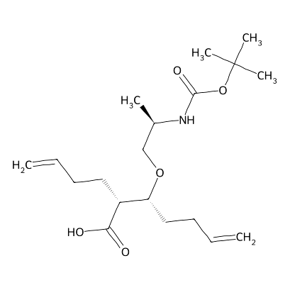 C=CCC[C@@H](OC[C@@H](C)NC(=O)OC(C)(C)C)[C@@H](CCC=C)C(=O)O